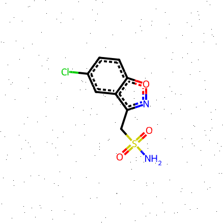 NS(=O)(=O)Cc1noc2ccc(Cl)cc12